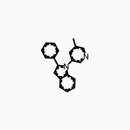 Cc1cncc(-n2c(-c3ccccc3)cc3ccccc32)c1